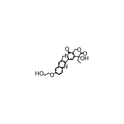 CC[C@@]1(O)C(=O)OCc2c1cc1n(c2=O)Cc2cc3cc(OCCO)ccc3nc2-1